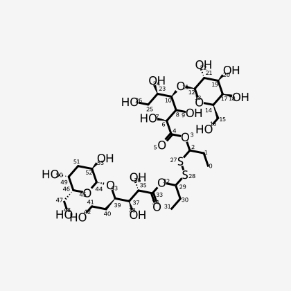 CCC(OC(=O)[C@@H](O)C(O)[C@H](O[C@@H]1O[C@H](CO)[C@H](O)[C@H](O)[C@H]1O)[C@H](O)CO)SSC(CC)OC(=O)[C@@H](O)[C@@H](O)[C@@H](CCO)O[C@@H]1O[C@H](CO)[C@H](O)C[C@H]1O